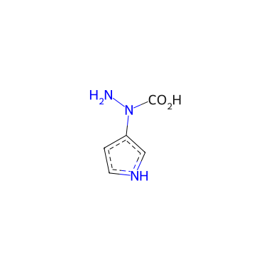 NN(C(=O)O)c1cc[nH]c1